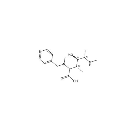 CN[C@@H](C)[C@H](O)[C@H](C)C(C(=O)O)N(C)Cc1ccncc1